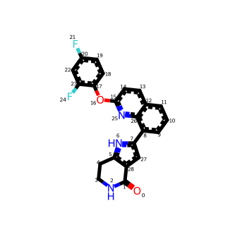 O=C1NCCc2[nH]c(-c3cccc4ccc(Oc5ccc(F)cc5F)nc34)cc21